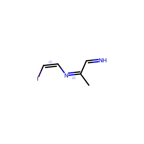 C/C(C=N)=N/C=C\I